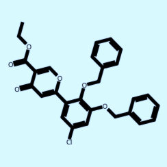 CCOC(=O)c1coc(-c2cc(Cl)cc(OCc3ccccc3)c2OCc2ccccc2)cc1=O